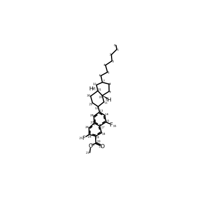 CCCCCCCC1CC[C@@H]2CC(c3cc(F)c4cc(C(=O)OC)c(F)cc4c3)CC[C@H]2C1